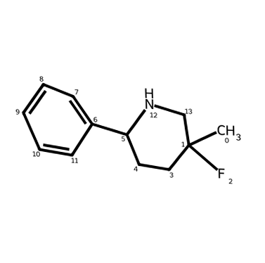 CC1(F)CCC(c2ccccc2)NC1